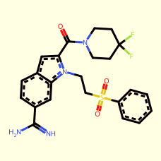 N=C(N)c1ccc2cc(C(=O)N3CCC(F)(F)CC3)n(CCS(=O)(=O)c3ccccc3)c2c1